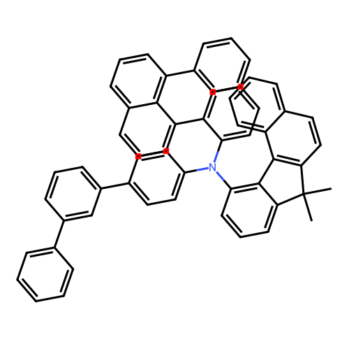 CC1(C)c2cccc(N(c3ccc(-c4cccc(-c5ccccc5)c4)cc3)c3ccccc3-c3cccc4cccc(-c5ccccc5)c34)c2-c2c1ccc1ccccc21